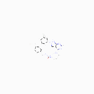 O=C(NCc1ccc(S)cc1)N1CCCN(c2ncnc3nn(-c4ccc(C(F)(F)F)c(F)c4)cc23)C1